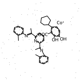 CC(=Nc1ccccc1C)c1cccc(C(C)=Nc2ccccc2C)n1.O=C([O-])c1c(C2CCCCC2)ccc(O)c1O.[Co+]